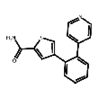 NC(=O)c1cc(-c2ccccc2-c2ccncc2)cs1